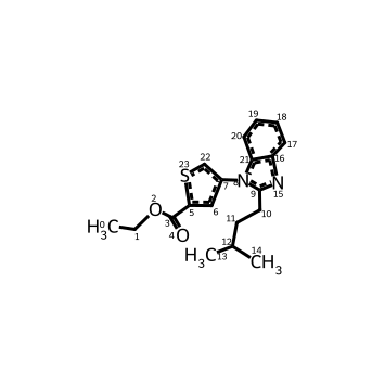 CCOC(=O)c1cc(-n2c(CCC(C)C)nc3ccccc32)cs1